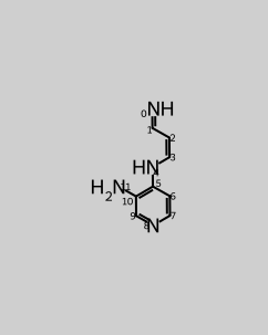 N=C/C=C\Nc1ccncc1N